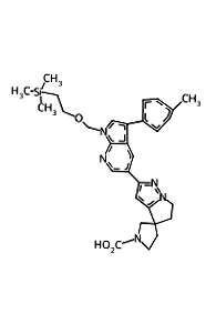 Cc1ccc(-c2cn(COCC[Si](C)(C)C)c3ncc(-c4cc5n(n4)CCC54CCN(C(=O)O)C4)cc23)cc1